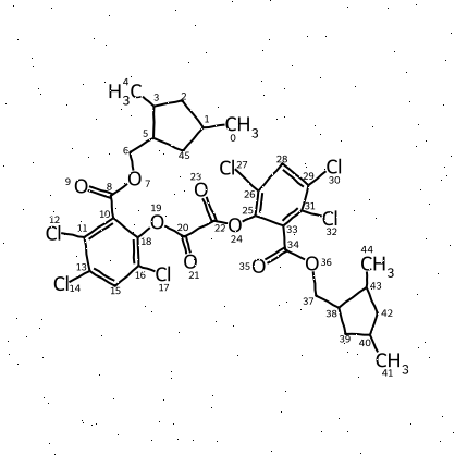 CC1CC(C)C(COC(=O)c2c(Cl)c(Cl)cc(Cl)c2OC(=O)C(=O)Oc2c(Cl)cc(Cl)c(Cl)c2C(=O)OCC2CC(C)CC2C)C1